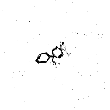 CC(C)OC1(C)C=CC(C(=O)O)(c2ccccc2)C=C1